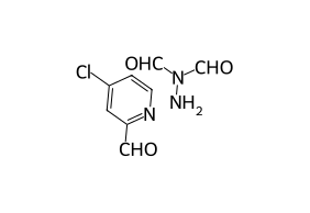 NN(C=O)C=O.O=Cc1cc(Cl)ccn1